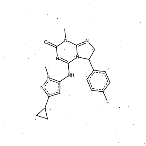 CN1C(=O)N=C(Nc2cc(C3CC3)nn2C)N2C1=NCC2c1ccc(F)cc1